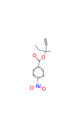 C#CC(C)(CC)OC(=O)c1ccc([N+](=O)[O-])cc1